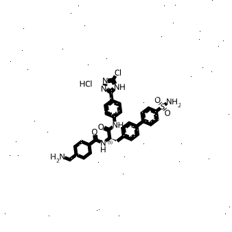 Cl.NCC1CCC(C(=O)N[C@@H](Cc2ccc(-c3ccc(S(N)(=O)=O)cc3)cc2)C(=O)Nc2ccc(-c3nnc(Cl)[nH]3)cc2)CC1